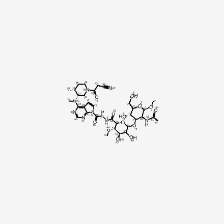 CO[C@@H]1OC(CO)[C@@H](O)[C@H](O[C@@H]2OC(C(=O)NNC(=O)n3ccc4c(N(C)[C@H]5CN(C(=O)CC#N)CC[C@H]5C)ncnc43)[C@@H](OC)[C@H](O)C2O)C1NC(C)=O